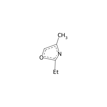 [CH2]Cc1nc(C)co1